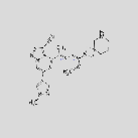 C=N/C(=C\C=C(/C)c1cc(-c2cnn(C)c2)cn2ncc(C#N)c12)N1CC2(CCCNC2)C1